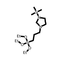 CCO[Si](CCCN1CCN([Si](C)(C)C)C1)(OCC)OCC